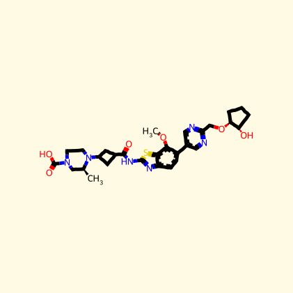 COc1c(-c2cnc(CO[C@H]3CCC[C@@H]3O)nc2)ccc2nc(NC(=O)C3CC(N4CCN(C(=O)O)C[C@@H]4C)C3)sc12